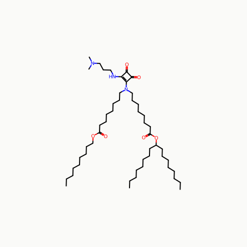 CCCCCCCCCOC(=O)CCCCCCCN(CCCCCCCC(=O)OC(CCCCCCCC)CCCCCCCC)c1c(NCCCN(C)C)c(=O)c1=O